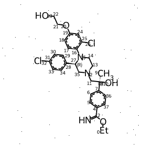 CCOC(=N)c1ccc([C@](C)(O)CN2CCN(c3ccc(OCCO)cc3Cl)[C@H](c3ccc(Cl)cc3)C2)cc1